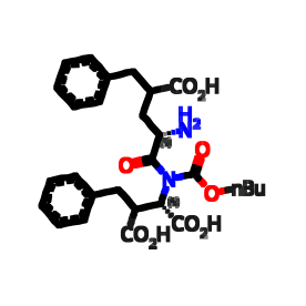 CCCCOC(=O)N(C(=O)[C@@H](N)CC(Cc1ccccc1)C(=O)O)[C@H](C(=O)O)C(Cc1ccccc1)C(=O)O